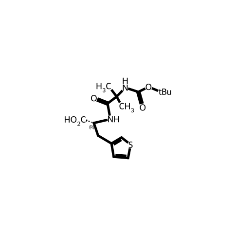 CC(C)(C)OC(=O)NC(C)(C)C(=O)N[C@H](Cc1ccsc1)C(=O)O